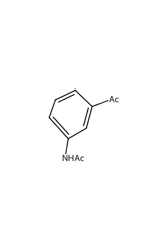 CC(=O)Nc1cc[c]c(C(C)=O)c1